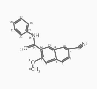 COc1cc2ccc(C#N)cc2cc1C(=O)Nc1ccccc1